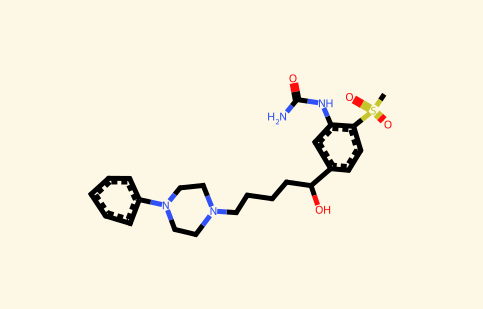 CS(=O)(=O)c1ccc(C(O)CCCCN2CCN(c3ccccc3)CC2)cc1NC(N)=O